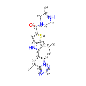 Cc1cc(-c2[nH]c3cc(C(=O)N4CCN[C@@H](C)C4)sc3c2C(C)C)cn2ncnc12